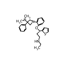 CCNCC[C@@H](Oc1ccccc1N1CC(c2ccccc2)(N(C)C)C1)c1cccs1